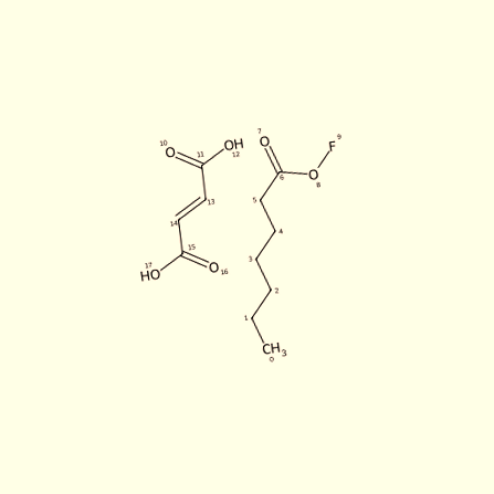 CCCCCCC(=O)OF.O=C(O)/C=C/C(=O)O